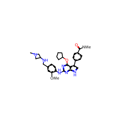 CNC(=O)c1ccc(-c2c[nH]c3nc(Nc4ccc(CNC5CN(C)C5)cc4OC)nc(OC4CCCC4)c23)cc1